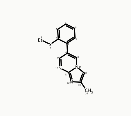 CCSc1ccccc1-c1cnc2nc(C)cn2c1